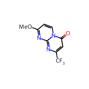 COc1ccn2c(=O)cc(C(F)(F)F)nc2n1